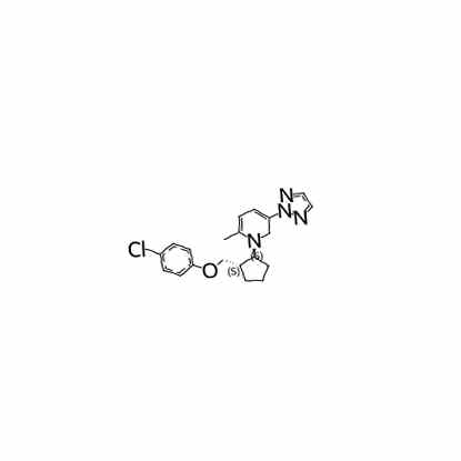 CC1=CC=C(n2nccn2)CN1[C@H]1CCC[C@@H]1COc1ccc(Cl)cc1